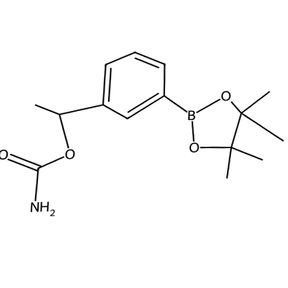 CC(OC(N)=O)c1cccc(B2OC(C)(C)C(C)(C)O2)c1